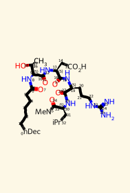 CCCCCCCCCCCCCCCC(=O)N[C@H](C(=O)N[C@@H](CC(=O)O)C(=O)N[C@@H](CCCNC(=N)N)C(=O)N[C@@H](CC(C)C)C(=O)NC)[C@@H](C)O